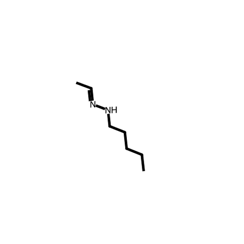 CC=NNCCCCC